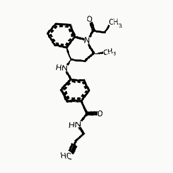 C#CCNC(=O)c1ccc(N[C@@H]2C[C@H](C)N(C(=O)CC)c3ccccc32)cc1